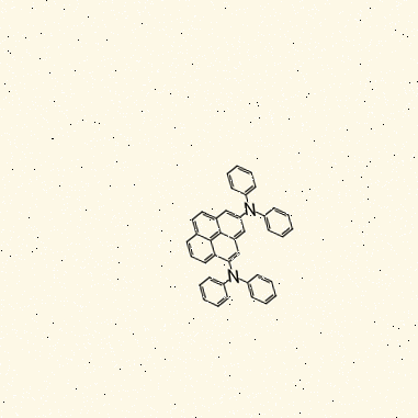 c1ccc(N(c2ccccc2)c2cc3ccc4cccc5c(N(c6ccccc6)c6ccccc6)cc(c2)c3c45)cc1